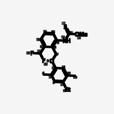 CCc1cc(C)c(OCc2c(NC(=S)OC)cccc2C(F)F)cc1C